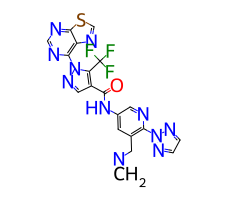 C=NCc1cc(NC(=O)c2cnn(-c3ncnc4scnc34)c2C(F)(F)F)cnc1-n1nccn1